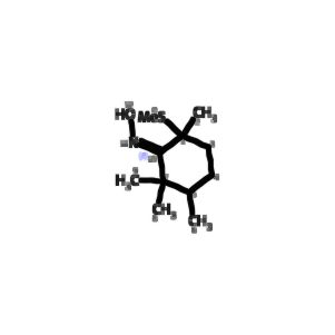 CSC1(C)CCC(C)C(C)(C)/C1=N/O